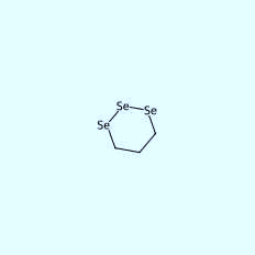 C1C[Se][Se][Se]C1